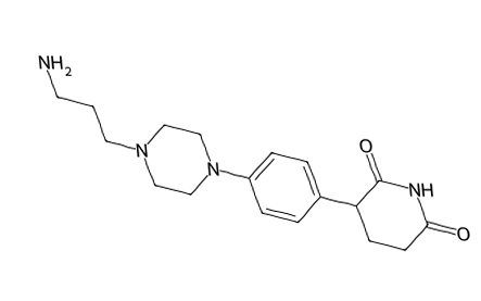 NCCCN1CCN(c2ccc(C3CCC(=O)NC3=O)cc2)CC1